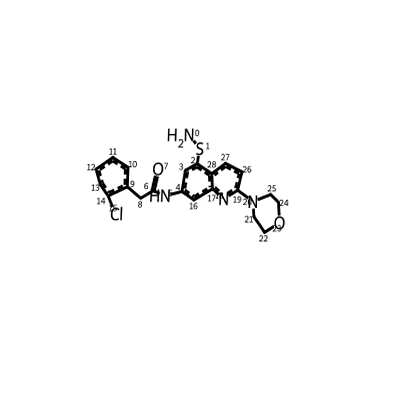 NSc1cc(NC(=O)Cc2ccccc2Cl)cc2nc(N3CCOCC3)ccc12